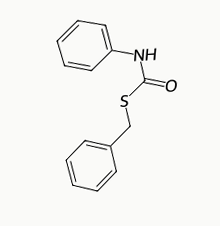 O=C(Nc1ccccc1)SCc1ccccc1